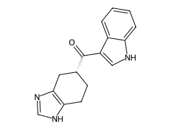 O=C(c1c[nH]c2ccccc12)[C@@H]1CCc2[nH]cnc2C1